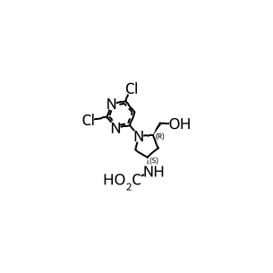 O=C(O)N[C@H]1C[C@H](CO)N(c2cc(Cl)nc(Cl)n2)C1